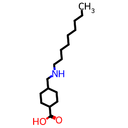 CCCCCCCCCNCC1CCC(C(=O)O)CC1